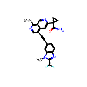 CNc1ncc(C#Cc2ccc3nc(C(F)F)n(C)c3c2)c2cc(C3(C(N)=O)CC3)ncc12